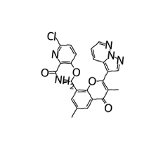 Cc1cc([C@@H](C)Oc2ccc(Cl)nc2C(N)=O)c2oc(-c3cnn4ncccc34)c(C)c(=O)c2c1